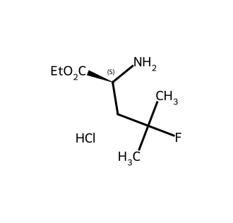 CCOC(=O)[C@@H](N)CC(C)(C)F.Cl